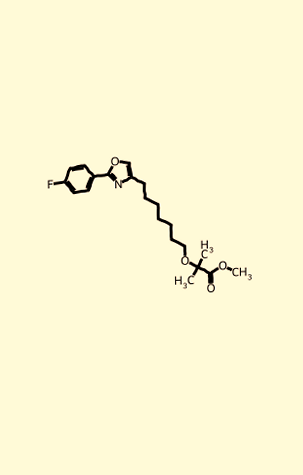 COC(=O)C(C)(C)OCCCCCCCc1coc(-c2ccc(F)cc2)n1